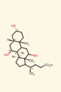 C[C@H](CCC(=O)O)C1CC[C@H]2[C@@H]3C(CC(O)C12C)C1(C)CC[C@@H](O)C[C@H]1C[C@@H]3O